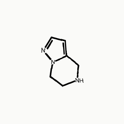 c1cc2n(n1)CCNC2